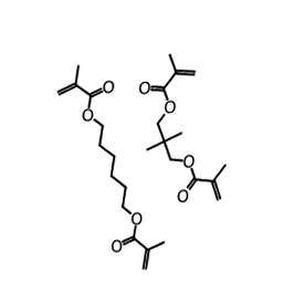 C=C(C)C(=O)OCC(C)(C)COC(=O)C(=C)C.C=C(C)C(=O)OCCCCCCOC(=O)C(=C)C